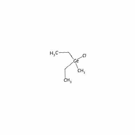 C[CH2][Ge]([CH3])([Cl])[CH2]C